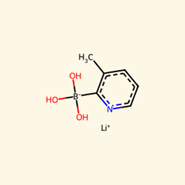 Cc1cccnc1[B-](O)(O)O.[Li+]